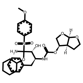 COc1ccc(S(=O)(=O)C(N)(OC2CCCCC2)[C@H](O)[C@H](Cc2ccccc2)NC(=O)O[C@H]2CO[C@H]3OCC[C@H]32)cc1